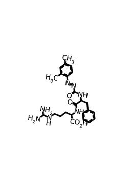 Cc1ccc(/N=N/C(=O)NC(Cc2ccccc2)C(=O)NC(CCCNC(N)N)C(=O)O)c(C)c1